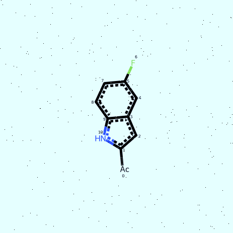 CC(=O)c1cc2cc(F)ccc2[nH]1